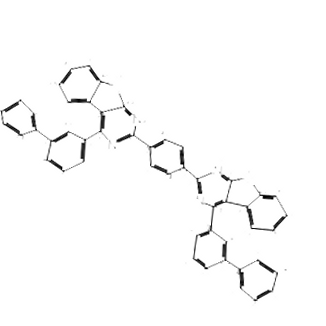 c1ccc(-c2cccc(-c3nc(-c4ccc(-c5nc(-c6cccc(-c7ccccc7)c6)c6c(n5)oc5ccccc56)cc4)nc4oc5ccccc5c34)c2)cc1